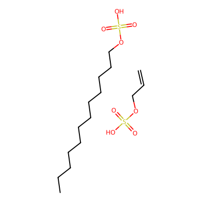 C=CCOS(=O)(=O)O.CCCCCCCCCCCCOS(=O)(=O)O